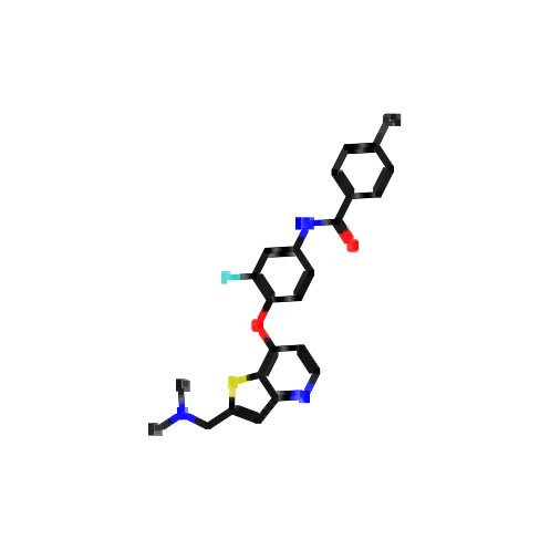 CCN(CC)Cc1cc2nccc(Oc3ccc(NC(=O)c4ccc(C#N)cc4)cc3F)c2s1